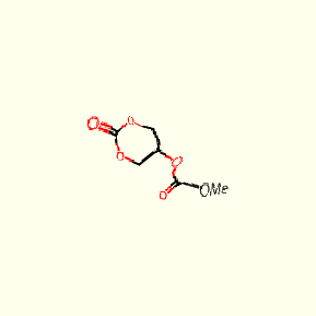 COC(=O)OC1COC(=O)OC1